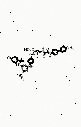 Nc1ccc(-c2ccc(NC(=O)C(=O)NCC[C@H](NC(=O)c3ccc(Nc4nc(NC5(c6ccc(Cl)cc6)CC5)nc(OCC(F)(F)F)n4)cc3)C(=O)O)cc2)cc1